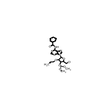 C=CCOC1C(OP(OC)OC)C(CCl)OC1n1cnc2c(NC(=O)c3ccccc3)ncnc21